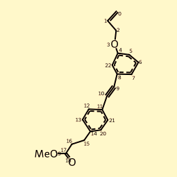 C=CCOc1cccc(C#Cc2ccc(CCC(=O)OC)cc2)c1